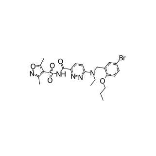 CCCOc1ccc(Br)cc1CN(CC)c1ccc(C(=O)NS(=O)(=O)c2c(C)noc2C)nn1